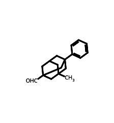 CC12CC3CC(C=O)(C1)CC(c1ccccc1)(C3)C2